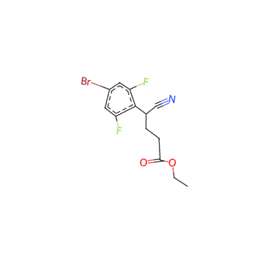 CCOC(=O)CCC(C#N)c1c(F)cc(Br)cc1F